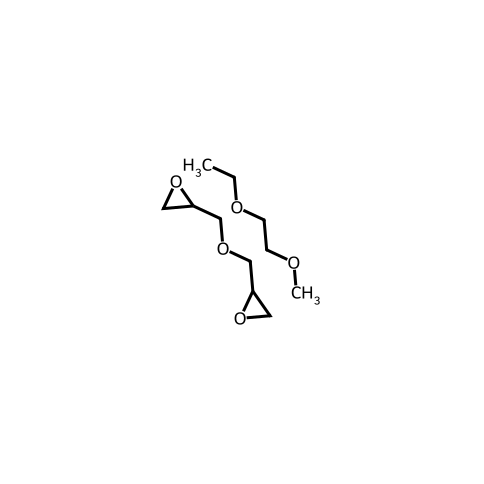 C(OCC1CO1)C1CO1.CCOCCOC